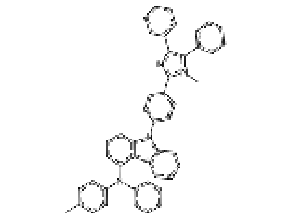 Cc1ccc(N(c2ccccc2)c2cccc3c2c2ccccc2n3-c2ccc(-c3nc(-c4ccccc4)c(-c4ccccc4)n3C)cc2)cc1